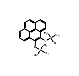 CC(C)(C)[Si](C)(C)Oc1c(O[Si](C)(C)C(C)(C)C)c2cccc3ccc4cccc1c4c32